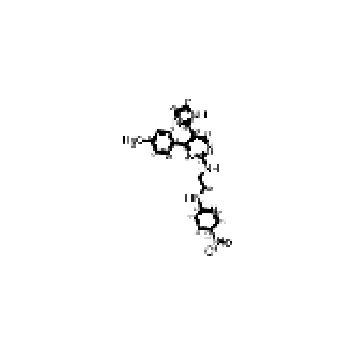 Cc1ccc(-c2nc(NCCNc3ccc([N+](=O)[O-])cn3)ncc2-c2ncc[nH]2)cc1